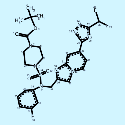 CC(C)(C)OC(=O)N1CCN(S(=O)(=O)N(Cc2cn3ccc(-c4nnc(C(F)F)o4)cc3n2)c2cccc(F)c2)CC1